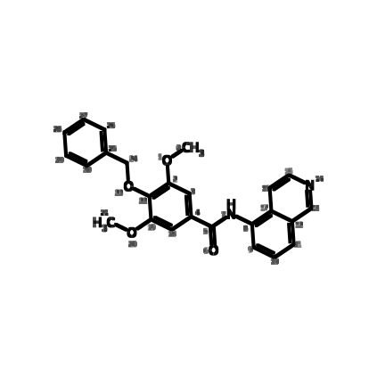 COc1cc(C(=O)Nc2cccc3cnccc23)cc(OC)c1OCc1ccccc1